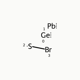 [Ge].[Pb].[S]Br